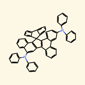 c1ccc(N(c2ccccc2)c2ccc3c4c(c5ccccc5c3c2)-c2cc(N(c3ccccc3)c3ccccc3)c3ccccc3c2C42c3ccccc3-c3ccccc32)cc1